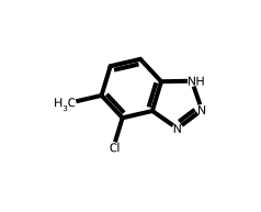 Cc1ccc2[nH]nnc2c1Cl